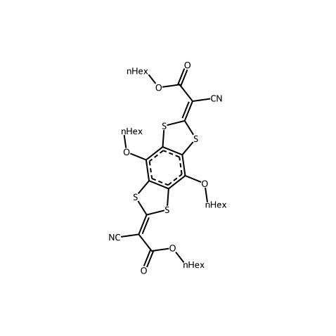 CCCCCCOC(=O)C(C#N)=C1Sc2c(OCCCCCC)c3c(c(OCCCCCC)c2S1)SC(=C(C#N)C(=O)OCCCCCC)S3